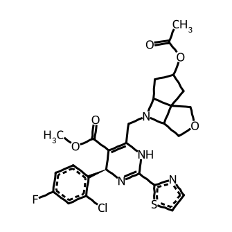 COC(=O)C1=C(CN2C3COCC34CC(OC(C)=O)CC24)NC(c2nccs2)=N[C@H]1c1ccc(F)cc1Cl